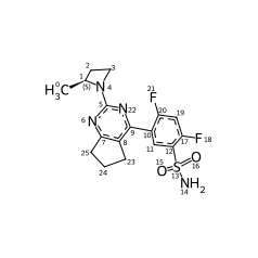 C[C@H]1CCN1c1nc2c(c(-c3cc(S(N)(=O)=O)c(F)cc3F)n1)CCC2